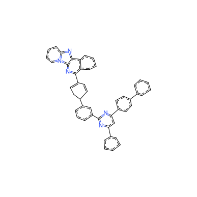 C1=CC(c2cccc(-c3nc(-c4ccccc4)cc(-c4ccc(-c5ccccc5)cc4)n3)c2)CC=C1c1nc2c(nc3ccccn32)c2ccccc12